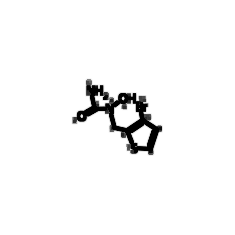 NC(=O)N(O)Cc1sccc1Br